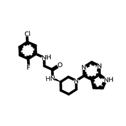 O=C(CNc1cc(Cl)ccc1F)N[C@@H]1CCCN(c2ncnc3[nH]ccc23)C1